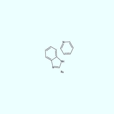 [Ru].c1ccc2[nH]cnc2c1.c1ccncc1